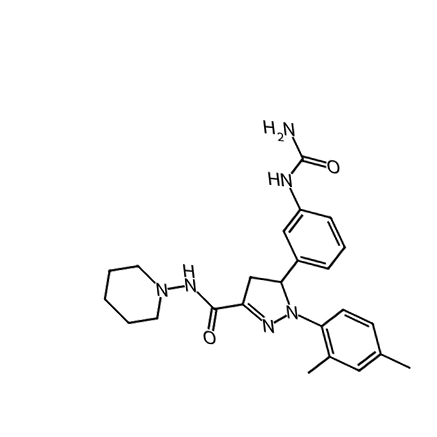 Cc1ccc(N2N=C(C(=O)NN3CCCCC3)CC2c2cccc(NC(N)=O)c2)c(C)c1